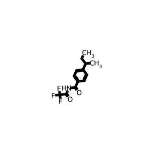 CCC(C)c1ccc(C(=O)NC(=O)C(F)(F)F)cc1